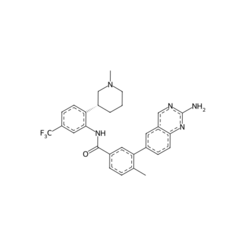 Cc1ccc(C(=O)Nc2cc(C(F)(F)F)ccc2[C@H]2CCCN(C)C2)cc1-c1ccc2nc(N)ncc2c1